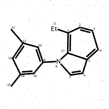 CCc1cccc2ccn(-c3cc(C)cc(C)c3)c12